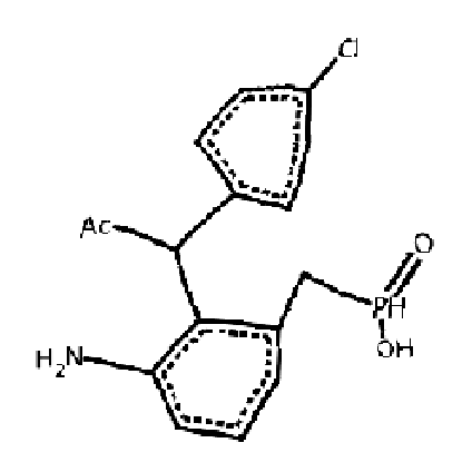 CC(=O)C(c1ccc(Cl)cc1)c1c(N)cccc1C[PH](=O)O